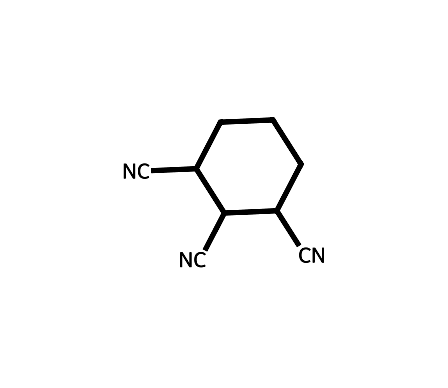 N#CC1CCCC(C#N)C1C#N